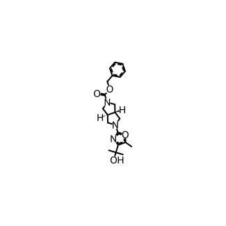 Cc1oc(N2C[C@H]3CN(C(=O)OCc4ccccc4)C[C@@H]3C2)nc1C(C)(C)O